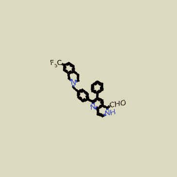 O=CC1NC=Cc2nc(-c3ccc(CN4CCc5ccc(C(F)(F)F)cc5C4)cc3)c(-c3ccccc3)cc21